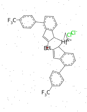 CCC1=Cc2c(-c3ccc(C(F)(F)F)cc3)cccc2[CH]1[Hf+2]1([CH]2C(CC)=Cc3c(-c4ccc(C(F)(F)F)cc4)cccc32)[CH2][CH2]1.[Cl-].[Cl-]